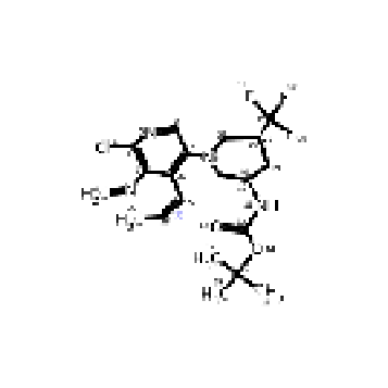 C=Nc1c(Cl)ncc(N2C[C@H](NC(=O)OC(C)(C)C)C[C@H](C(F)(F)F)C2)c1/C=C\C